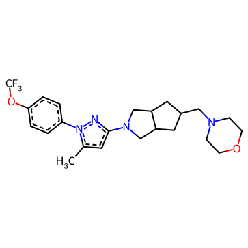 Cc1cc(N2CC3CC(CN4CCOCC4)CC3C2)nn1-c1ccc(OC(F)(F)F)cc1